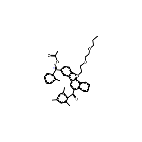 CCCOCCOCCn1c2ccc(/C(=N\OC(C)=O)c3ccccc3C)cc2c2cc(C(=O)c3c(C)cc(C)cc3C)c3ccccc3c21